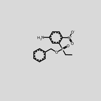 CCP(=O)(OCc1ccccc1)c1cc(N)ccc1[N+](=O)[O-]